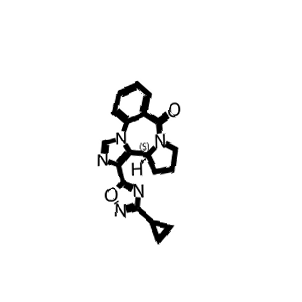 O=C1c2ccccc2-n2cnc(-c3nc(C4CC4)no3)c2[C@@H]2CCCN12